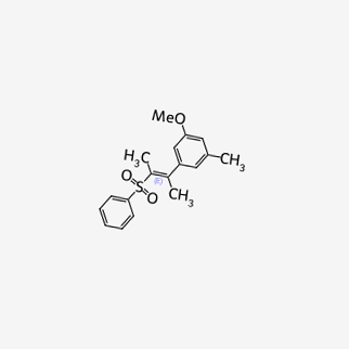 COc1cc(C)cc(/C(C)=C(\C)S(=O)(=O)c2ccccc2)c1